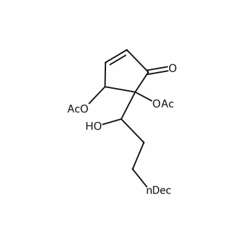 CCCCCCCCCCCCC(O)C1(OC(C)=O)C(=O)C=CC1OC(C)=O